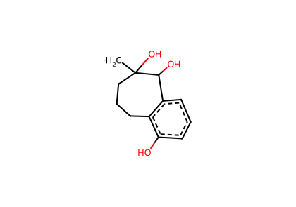 [CH2]C1(O)CCCc2c(O)cccc2C1O